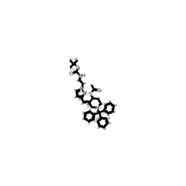 CC(=O)SC1CCN(C(c2ccccc2)(c2ccccc2)c2ccccc2)CC1=Cc1ccn(CCNC(=O)OC(C)(C)C)n1